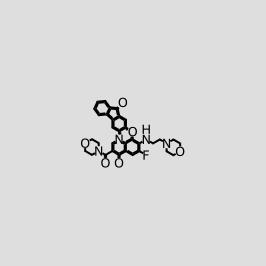 O=C(c1cn2c3cc4c(cc3oc3c(NCCN5CCOCC5)c(F)cc(c1=O)c32)c(=O)c1ccccc14)N1CCOCC1